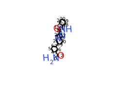 NC(=O)c1cccc(-c2ccc3nc(C(=O)Nc4ccccc4)cn3c2)c1